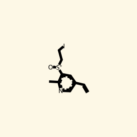 C=Cc1cnc(C)c([S+]([O-])CCI)c1